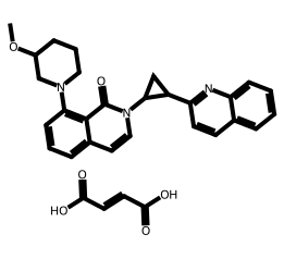 COC1CCCN(c2cccc3ccn(C4CC4c4ccc5ccccc5n4)c(=O)c23)C1.O=C(O)C=CC(=O)O